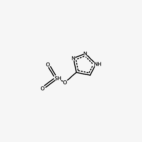 O=[SH](=O)Oc1c[nH]nn1